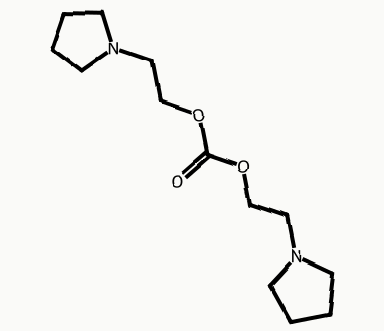 O=C(OCCN1CCCC1)OCCN1CCCC1